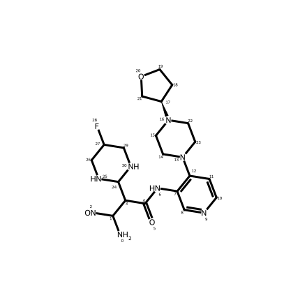 NC(N=O)C(C(=O)Nc1cnccc1N1CCN([C@@H]2CCOC2)CC1)C1NCC(F)CN1